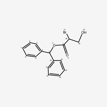 O=C(OC(c1ccccc1)c1ccccc1)C(Br)CO